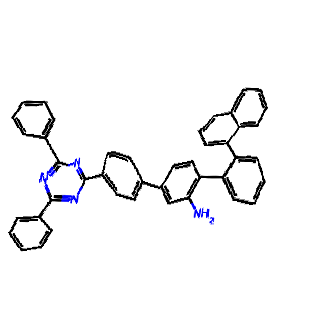 Nc1cc(-c2ccc(-c3nc(-c4ccccc4)nc(-c4ccccc4)n3)cc2)ccc1-c1ccccc1-c1cccc2ccccc12